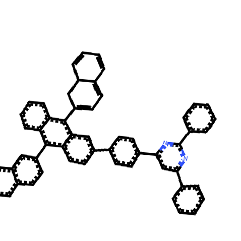 C1=CC2=CC=C(c3c4ccccc4c(-c4ccc5ccccc5c4)c4ccc(-c5ccc(-c6cc(-c7ccccc7)nc(-c7ccccc7)n6)cc5)cc34)CC2C=C1